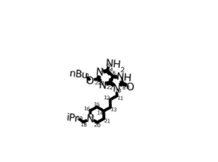 CCCCOc1nc(N)c2[nH]c(=O)n(CCCC3CCN(CC(C)C)CC3)c2n1